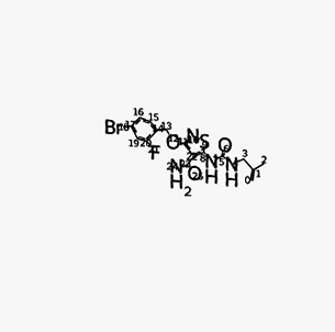 C=C(C)CNC(=O)Nc1snc(OCc2ccc(Br)cc2F)c1C(N)=O